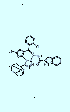 CCc1cc(C(=O)c2ccccc2Cl)c(-n2c(CNC(=O)c3cc4ccccc4[nH]3)nnc2C23CC4CC(CC(C4)C2)C3)s1